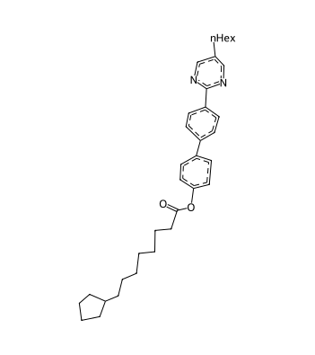 CCCCCCc1cnc(-c2ccc(-c3ccc(OC(=O)CCCCCCCC4CCCC4)cc3)cc2)nc1